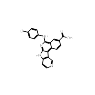 O=C(O)c1ccc2c(c1)c(Nc1ccc(Cl)cc1)nc1[nH]c3ccncc3c12